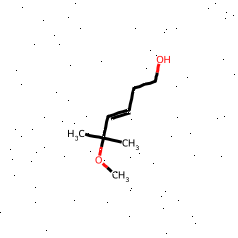 COC(C)(C)C=CCCO